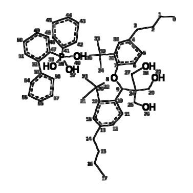 CCCCc1ccc(OC(c2ccc(CCCC)cc2C(C)(C)C)C(CO)(CO)CO)c(C(C)(C)C)c1.OP(O)(O)(c1ccccc1)c1ccccc1-c1ccccc1